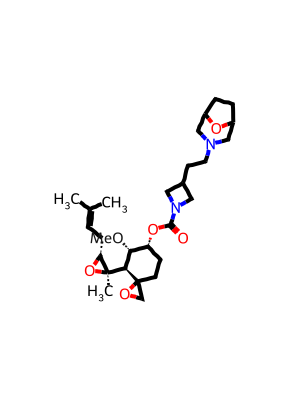 CO[C@@H]1[C@H](OC(=O)N2CC(CCN3CC4CCC(C3)O4)C2)CCC2(CO2)[C@H]1[C@@]1(C)O[C@@H]1CC=C(C)C